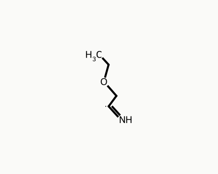 CCOC[C]=N